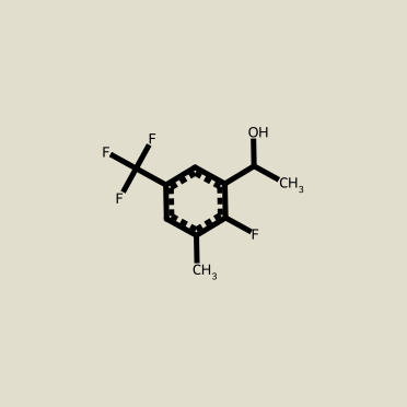 Cc1cc(C(F)(F)F)cc(C(C)O)c1F